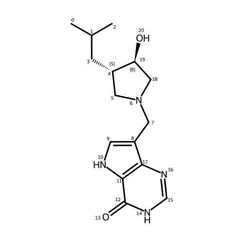 CC(C)C[C@H]1CN(Cc2c[nH]c3c(=O)[nH]cnc23)C[C@@H]1O